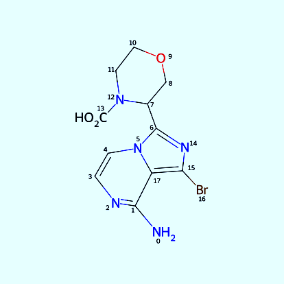 Nc1nccn2c(C3COCCN3C(=O)O)nc(Br)c12